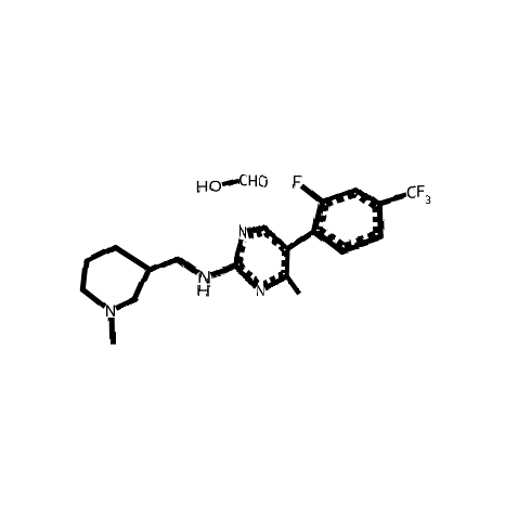 Cc1nc(NCC2CCCN(C)C2)ncc1-c1ccc(C(F)(F)F)cc1F.O=CO